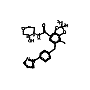 [2H]C1([2H])Oc2c(C(=O)N[C@H]3CCOC[C@@H]3O)cc(Cc3ccc(-n4cccn4)cc3)c(C)c2O1